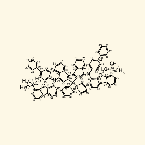 CC(C)(C)c1cccc2c1oc1c(N(c3ccc(-c4ccccc4)cc3)c3cc4c(c5ccccc35)-c3c(cc(N(c5ccc(-c6ccccc6)cc5)c5cccc6c5oc5c(C(C)(C)C)cccc56)c5ccccc35)C4(c3ccccc3)c3ccccc3)cccc12